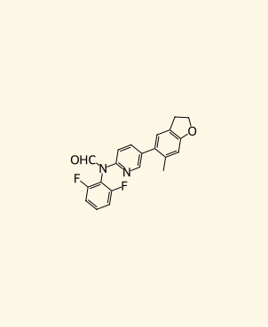 Cc1cc2c(cc1-c1ccc(N(C=O)c3c(F)cccc3F)nc1)CCO2